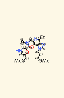 CCc1nc([C@@H](C)N(C(=O)[C@H]2CNC[C@@H](COC)O2)C2CC2)cc2c1ncn2CCCOC